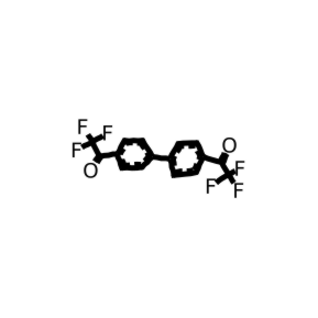 O=C(c1ccc(-c2ccc(C(=O)C(F)(F)F)cc2)cc1)C(F)(F)F